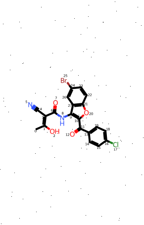 CC(O)=C(C#N)C(=O)Nc1c(C(=O)c2ccc(Cl)cc2)oc2ccc(Br)cc12